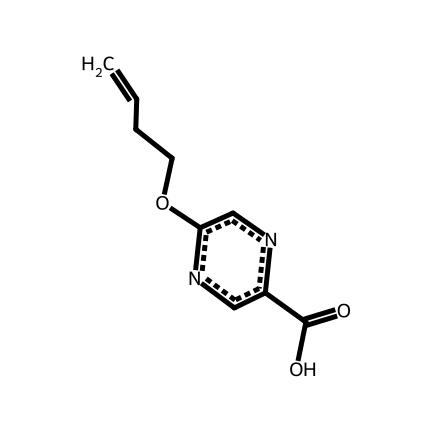 C=CCCOc1cnc(C(=O)O)cn1